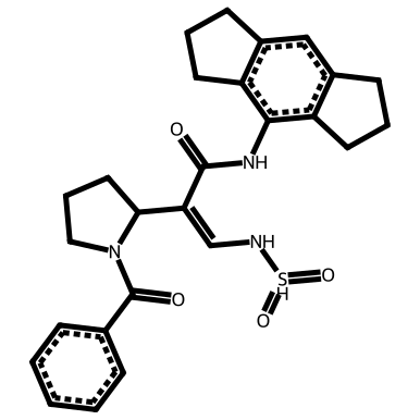 O=C(Nc1c2c(cc3c1CCC3)CCC2)C(=CN[SH](=O)=O)C1CCCN1C(=O)c1ccccc1